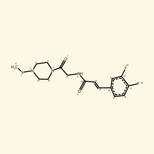 CSN1CCN(C(=O)CNC(=O)/C=C/c2ccc(F)c(F)c2)CC1